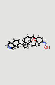 CC12CC=C3C=C4CC/C(=N/O)C[C@]45CC[C@]3(O5)[C@@H]1CCC2c1ccc2ccncc2c1